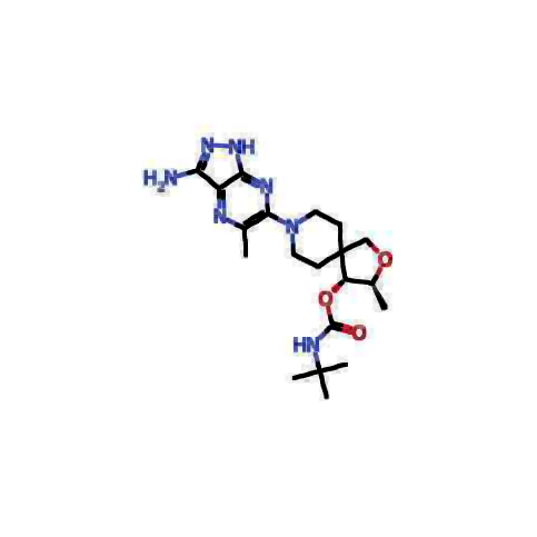 Cc1nc2c(N)n[nH]c2nc1N1CCC2(CC1)CO[C@@H](C)[C@H]2OC(=O)NC(C)(C)C